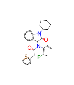 C=C/C(=C(\C)F)N(C(=O)Cc1cccs1)C1C(=O)N(C2CCCCC2)c2ccccc21